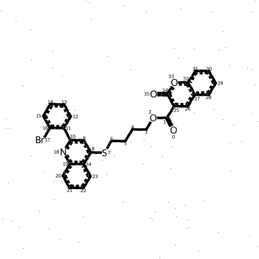 O=C(OCCCCSc1cc(-c2ccccc2Br)nc2ccccc12)c1cc2ccccc2oc1=O